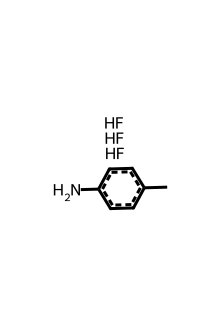 Cc1ccc(N)cc1.F.F.F